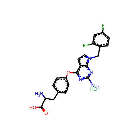 Cl.Nc1nc(Oc2ccc(CC(N)C(=O)O)cc2)c2ccn(Cc3ccc(F)cc3Br)c2n1